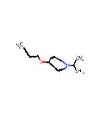 CCCOC1CN(C(C)C)C1